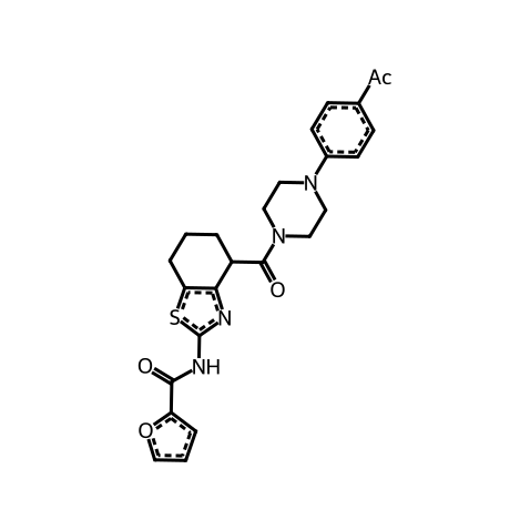 CC(=O)c1ccc(N2CCN(C(=O)C3CCCc4sc(NC(=O)c5ccco5)nc43)CC2)cc1